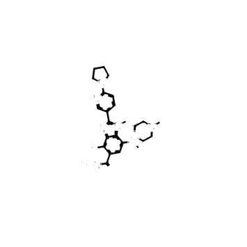 COc1cc(C(N)=O)c(F)c2nc(-c3ccc(N4CCC[C@@H]4C)nc3)n(C[C@@H]3CN(C)CCO3)c12